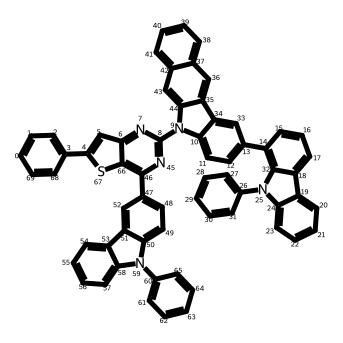 c1ccc(-c2cc3nc(-n4c5ccc(-c6cccc7c8ccccc8n(-c8ccccc8)c67)cc5c5cc6ccccc6cc54)nc(-c4ccc5c(c4)c4ccccc4n5-c4ccccc4)c3s2)cc1